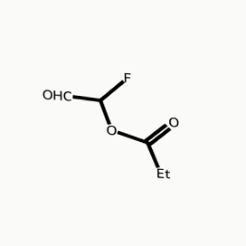 CCC(=O)OC(F)C=O